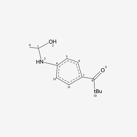 CC(O)Nc1ccc(C(=O)C(C)(C)C)cc1